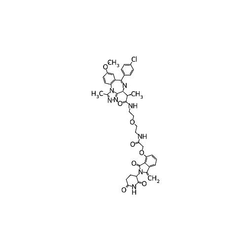 C=C1c2cccc(OCC(=O)NCCOCCNC(=O)[C@H](C)[C@@H]3N=C(c4ccc(Cl)cc4)c4cc(OC)ccc4-n4c(C)nnc43)c2C(=O)N1C1CCC(=O)NC1=O